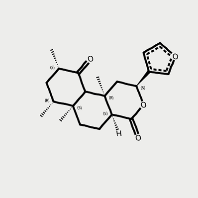 C[C@@H]1C[C@H](C)C(=O)C2[C@@]1(C)CC[C@@H]1C(=O)O[C@H](c3ccoc3)C[C@]21C